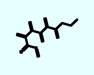 C=NC(=O)C(=C)C(=C)C(=C)C(=C)C(=C)CCC